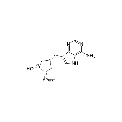 CCCCC[C@H]1CN(Cc2c[nH]c3c(N)ncnc23)C[C@H]1O